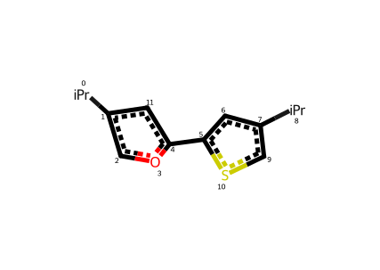 CC(C)c1coc(-c2cc(C(C)C)cs2)c1